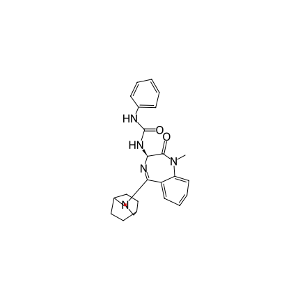 CN1C(=O)[C@H](NC(=O)Nc2ccccc2)N=C(N2CC3CCC(CC3)C2)c2ccccc21